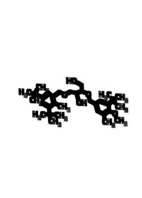 COc1c(C)cc(COC(CO)C(O)COCc2cc(C(C)(C)C)cc(C(C)(C)C)c2C)cc1C(C)(C)C